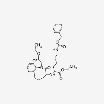 CCOC(=O)CN1C(=O)C(NC(CCCCNC(=O)OCc2ccccc2)C(=O)OCC)CCCc2ccccc21